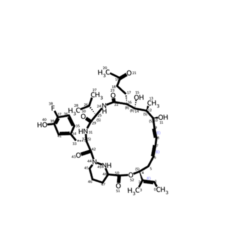 C/C=C(\C)[C@@H]1C/C=C/C=C/[C@H](O)[C@H](C)[C@@H](O)[C@@H](CCC(C)=O)C(=O)N[C@@H](C(C)C)C(=O)N[C@@H](Cc2ccc(F)c(O)c2)C(=O)N2CCCC(N2)C(=O)O1